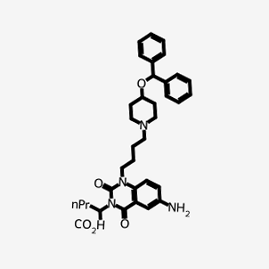 CCCC(C(=O)O)n1c(=O)c2cc(N)ccc2n(CCCCN2CCC(OC(c3ccccc3)c3ccccc3)CC2)c1=O